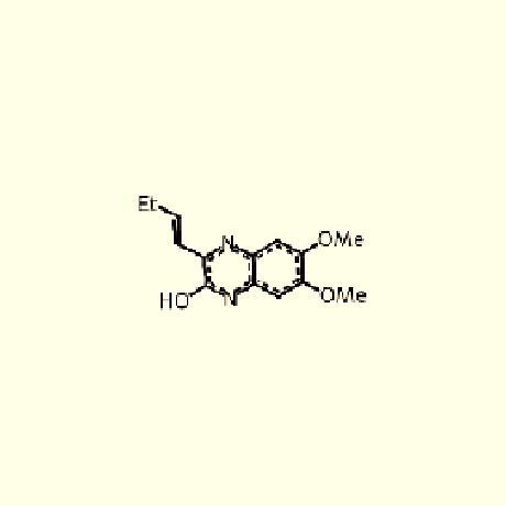 CCC=Cc1nc2cc(OC)c(OC)cc2nc1O